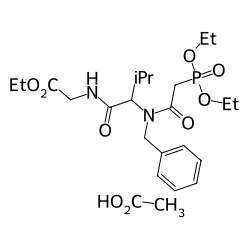 CC(=O)O.CCOC(=O)CNC(=O)C(C(C)C)N(Cc1ccccc1)C(=O)CP(=O)(OCC)OCC